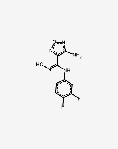 Nc1nonc1/C(=N\O)Nc1ccc(F)c(F)c1